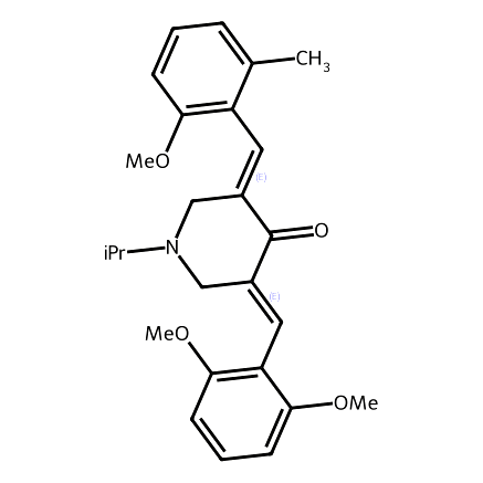 COc1cccc(C)c1/C=C1\CN(C(C)C)C/C(=C\c2c(OC)cccc2OC)C1=O